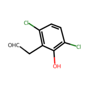 O=CCc1c(Cl)ccc(Cl)c1O